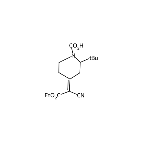 CCOC(=O)C(C#N)=C1CCN(C(=O)O)C(C(C)(C)C)C1